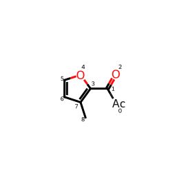 CC(=O)C(=O)c1occc1C